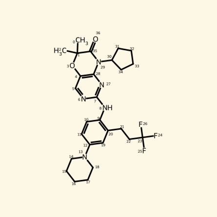 CC1(C)Oc2cnc(Nc3ccc(N4CCCCC4)cc3CCC(F)(F)F)nc2N(C2CCCC2)C1=O